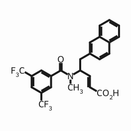 CN(C(=O)c1cc(C(F)(F)F)cc(C(F)(F)F)c1)C(C=CC(=O)O)Cc1ccc2ccccc2c1